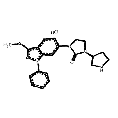 CSc1nn(-c2ccccc2)c2cc(N3CCN(C4CCNC4)C3=O)ccc12.Cl